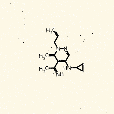 C=CCN1N=CC(NC2CC2)=C(C(C)=N)C1=C